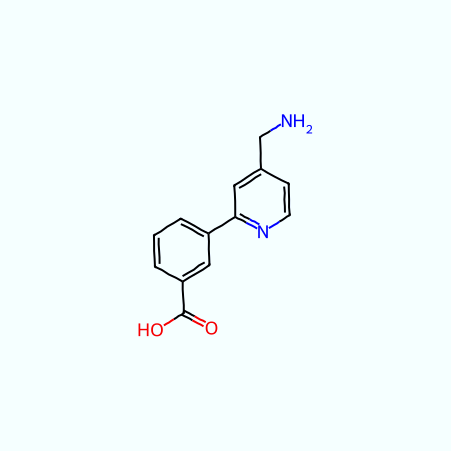 NCc1ccnc(-c2cccc(C(=O)O)c2)c1